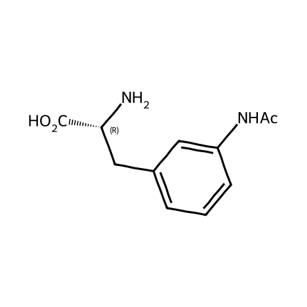 CC(=O)Nc1cccc(C[C@@H](N)C(=O)O)c1